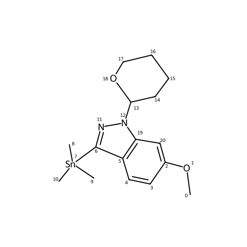 COc1ccc2[c]([Sn]([CH3])([CH3])[CH3])nn(C3CCCCO3)c2c1